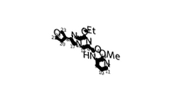 CCOc1nc(C(=O)Nc2cccnc2OC)cn2cc([C@H]3CCOC3)nc12